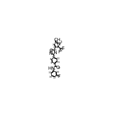 Cn1cc(-c2nc(-c3ccc(C(=O)Nc4cccc(F)c4)cc3)no2)c(C(F)F)n1